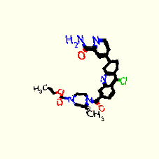 CCCOC(=O)N1CCN(C(=O)c2ccc3c(Cl)c4c(nc3c2)CC(c2ccnc(C(N)=O)c2)CC4)[C@@H](C)C1